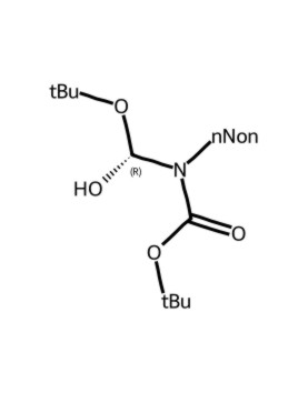 CCCCCCCCCN(C(=O)OC(C)(C)C)[C@H](O)OC(C)(C)C